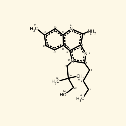 CCCCc1nc2c(N)nc3cc(C)ccc3c2n1CC(C)(C)CO